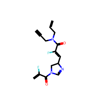 C#CCN(CC=C)C(=O)/C(F)=C/C1CN(C(=O)C(=C)F)C=N1